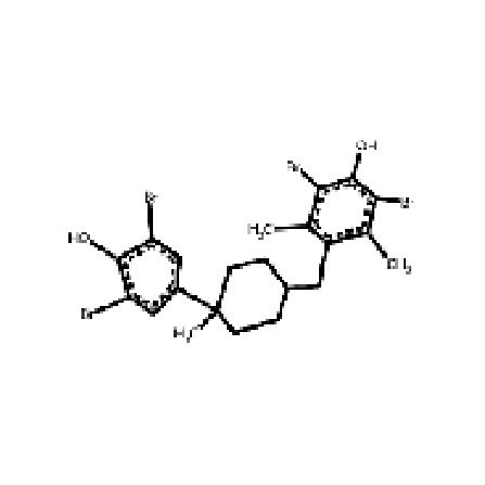 Cc1c(Br)c(O)c(Br)c(C)c1CC1CCC(C)(c2cc(Br)c(O)c(Br)c2)CC1